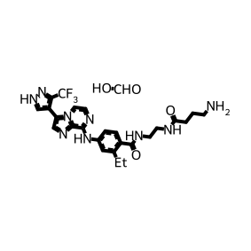 CCc1cc(Nc2nccn3c(-c4c[nH]nc4C(F)(F)F)cnc23)ccc1C(=O)NCCNC(=O)CCCN.O=CO